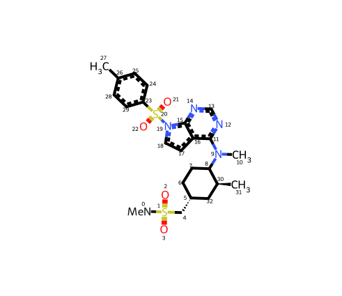 CNS(=O)(=O)C[C@@H]1CCC(N(C)c2ncnc3c2ccn3S(=O)(=O)c2ccc(C)cc2)[C@@H](C)C1